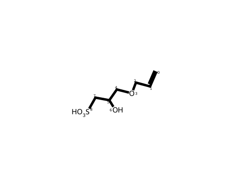 C=CCOCC(O)CS(=O)(=O)O